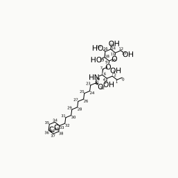 CC[C@@H](O)[C@@H](O)[C@H](COC1OC(CO)C(O)C(O)C1O)NC(=O)CCCCCCCCCCC12CCC(CC1)CC2